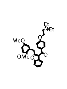 CCN(CC)CCOc1ccc(C(=O)c2c(Cc3cc(OC)ccc3OC)oc3ccccc23)cc1